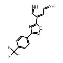 N=C/C=C(\C=N)c1nc(-c2ccc(C(F)(F)F)cc2)no1